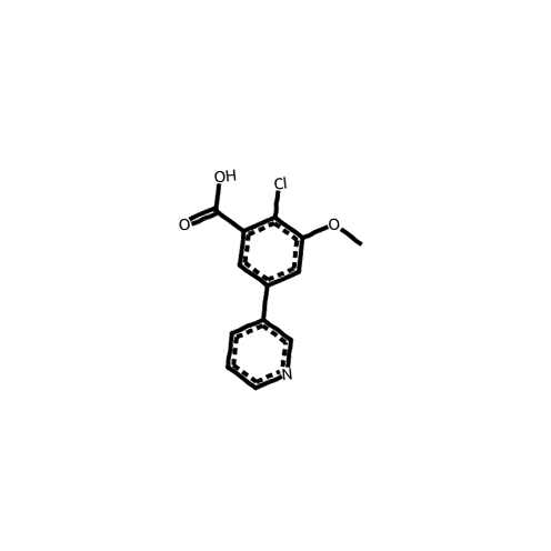 COc1cc(-c2cccnc2)cc(C(=O)O)c1Cl